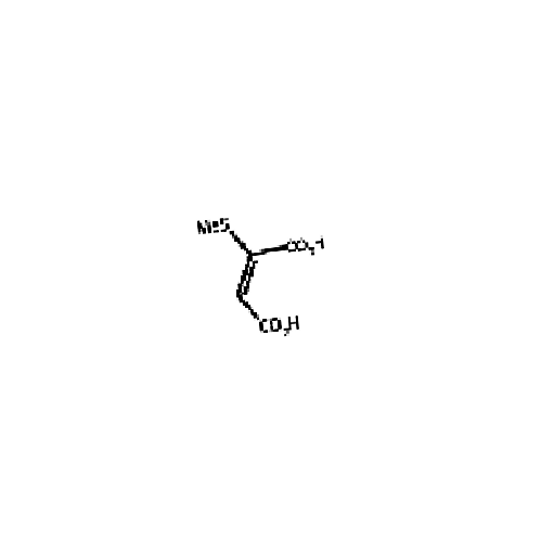 CS/C(=C/C(=O)O)C(=O)O